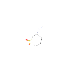 CNC1CCCS(=O)(=O)C1